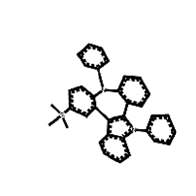 C[Si](C)(C)c1ccc2c(c1)-c1c(n(-c3ccccc3)c3ccccc13)-c1ccccc1N2c1ccccc1